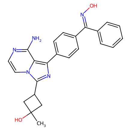 CC1(O)CC(c2nc(-c3ccc(C(=NO)c4ccccc4)cc3)c3c(N)nccn23)C1